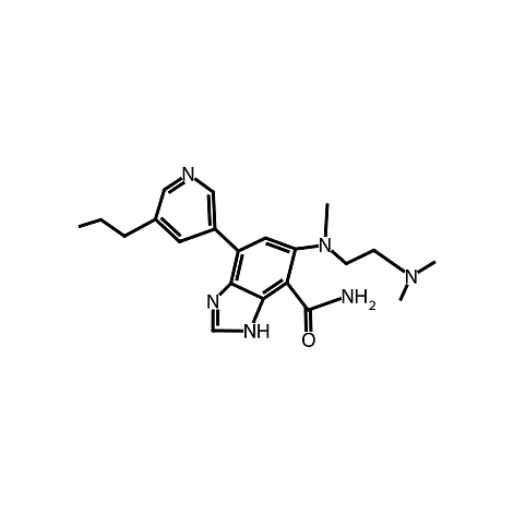 CCCc1cncc(-c2cc(N(C)CCN(C)C)c(C(N)=O)c3[nH]cnc23)c1